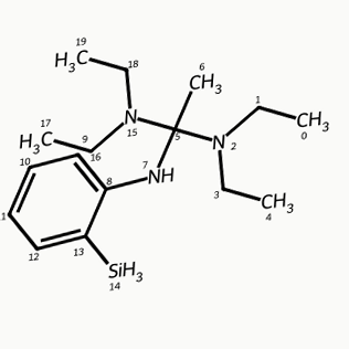 CCN(CC)C(C)(Nc1ccccc1[SiH3])N(CC)CC